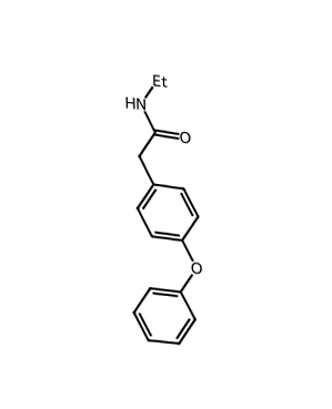 CCNC(=O)Cc1ccc(Oc2ccccc2)cc1